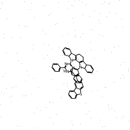 C1=CC2C3=C(C4=C(CC3)C3C=CC=CC3N4c3cccc(-c4ccc5sc6ccccc6c5c4)c3)N(C3=NC(c4ccccc4)NC(c4ccccc4)=N3)C2C=C1